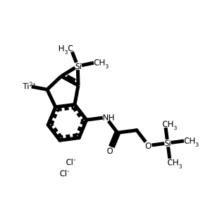 C[Si](C)(C)OCC(=O)Nc1cccc2c1C1=C([CH]2[Ti+2])[Si]1(C)C.[Cl-].[Cl-]